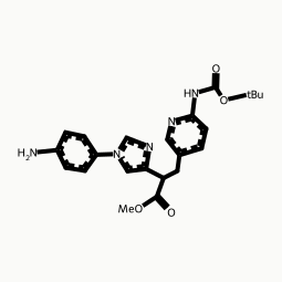 COC(=O)C(Cc1ccc(NC(=O)OC(C)(C)C)nc1)c1cn(-c2ccc(N)cc2)cn1